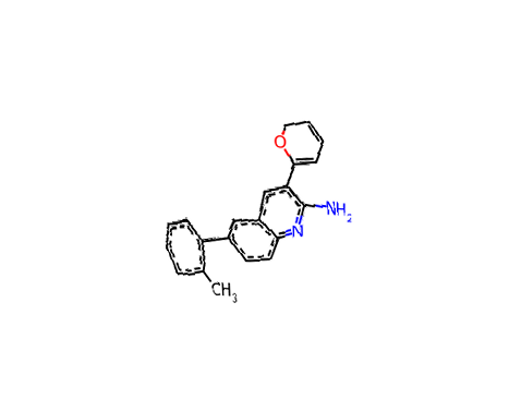 Cc1ccccc1-c1ccc2nc(N)c(C3=CC=CCO3)cc2c1